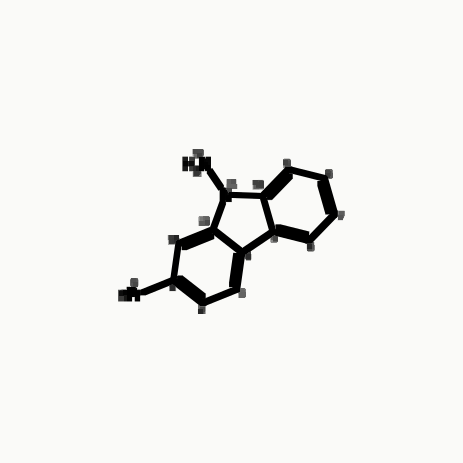 CCCc1ccc2c3ccccc3n(N)c2c1